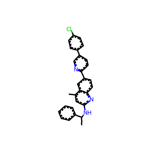 Cc1cc(NC(C)c2ccccc2)nc2ccc(-c3ccc(-c4ccc(Cl)cc4)cn3)cc12